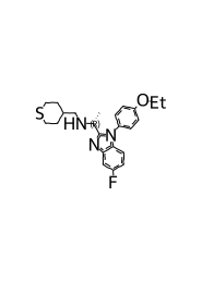 CCOc1ccc(-n2c([C@@H](C)NCC3CCSCC3)nc3cc(F)ccc32)cc1